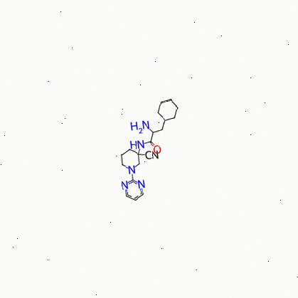 N#CC1(NC(=O)C(N)CC2CCCCC2)CCCN(c2ncccn2)C1